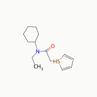 CCN(C(=O)C[SH]1C=CC=C1)C1CCCCC1